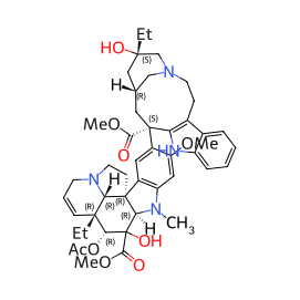 CC[C@]1(O)C[C@@H]2CN(CCc3c([nH]c4ccccc34)[C@@](C(=O)OC)(c3cc4c(cc3OC)N(C)[C@H]3C(O)(C(=O)OC)[C@H](OC(C)=O)[C@]5(CC)C=CCN6CC[C@]43[C@@H]65)C2)C1